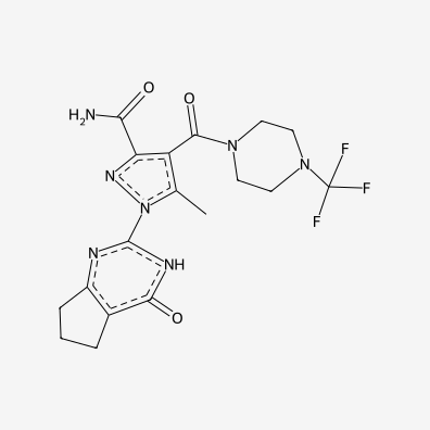 Cc1c(C(=O)N2CCN(C(F)(F)F)CC2)c(C(N)=O)nn1-c1nc2c(c(=O)[nH]1)CCC2